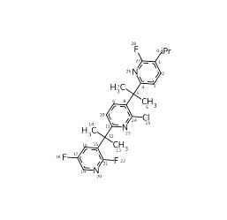 CC(C)c1ccc(C(C)(C)c2ccc(C(C)(C)c3cc(F)cnc3F)nc2Cl)nc1F